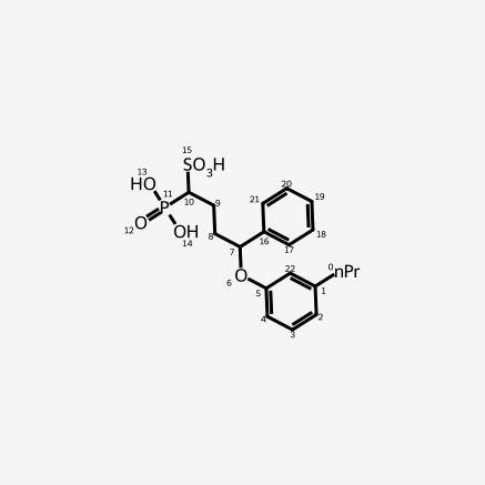 CCCc1cccc(OC(CCC(P(=O)(O)O)S(=O)(=O)O)c2ccccc2)c1